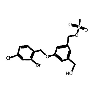 CS(=O)(=O)OCc1cc(CO)cc(OCc2ccc(Cl)cc2Br)c1